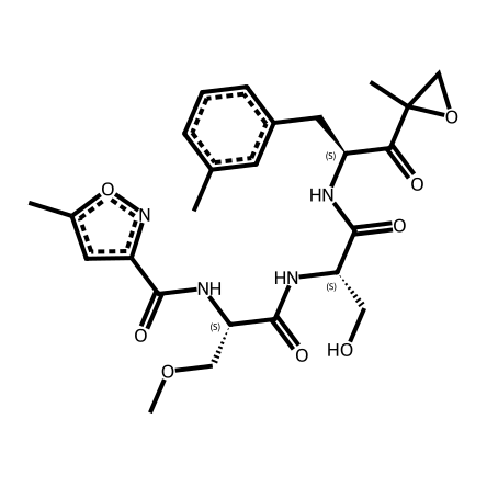 COC[C@H](NC(=O)c1cc(C)on1)C(=O)N[C@@H](CO)C(=O)N[C@@H](Cc1cccc(C)c1)C(=O)C1(C)CO1